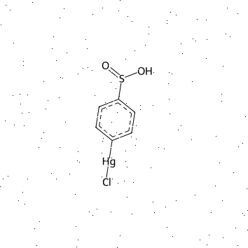 O=S(O)c1cc[c]([Hg][Cl])cc1